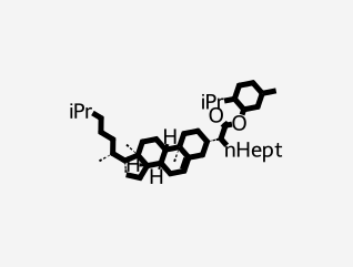 CCCCCCCC(C(=O)OC1CC(C)CCC1C(C)C)[C@H]1CC[C@@]2(C)C(=CC[C@H]3[C@@H]4CC[C@H]([C@H](C)CCCC(C)C)[C@@]4(C)CC[C@@H]32)C1